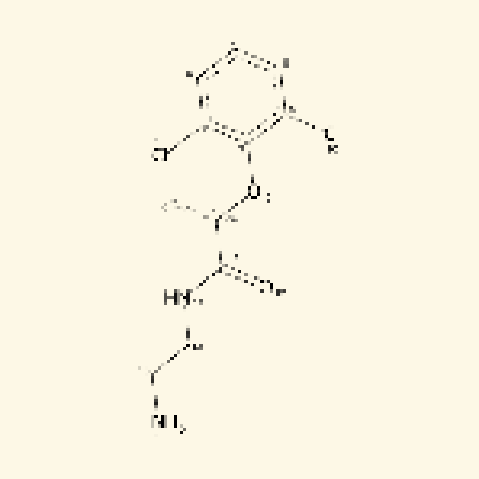 C[C@H](Oc1c(Cl)cccc1Cl)C(=O)NCCN